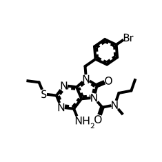 CCCN(C)C(=O)n1c(=O)n(Cc2ccc(Br)cc2)c2nc(SCC)nc(N)c21